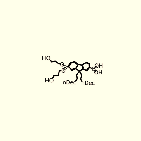 CCCCCCCCCCCCC1(CCCCCCCCCCCC)c2cc(B(O)O)ccc2-c2ccc(B(OCCCO)OCCCO)cc21